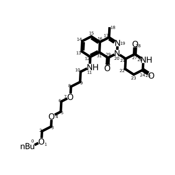 CCCCOCCOCCOCCCNc1cccc2c(C)nn(C3CCC(=O)NC3=O)c(=O)c12